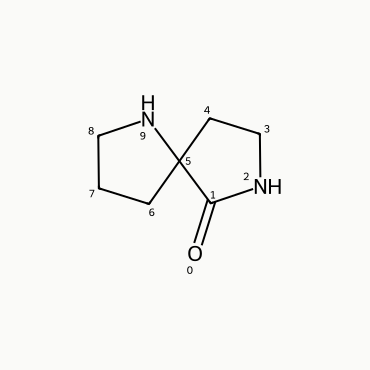 O=C1NCCC12CCCN2